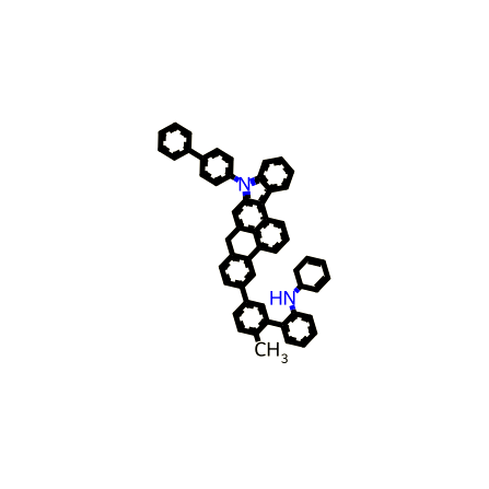 Cc1ccc(-c2ccc3c(c2)-c2cccc4c2c(cc2c4c4ccccc4n2-c2ccc(-c4ccccc4)cc2)C3)cc1-c1ccccc1NC1C=CC=CC1